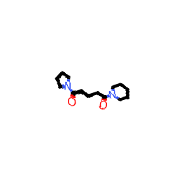 O=C(CCCC(=O)N1CCCC1)N1CCCCC1